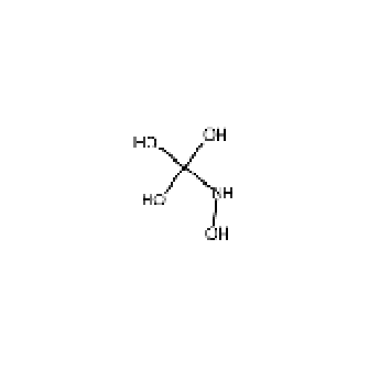 ONC(O)(O)O